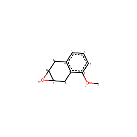 COc1cccc2c1CC1OC1C2